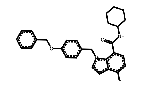 O=C(NC1CCCCC1)c1ccc(F)c2ccn(Cc3ccc(OCc4ccccc4)cc3)c12